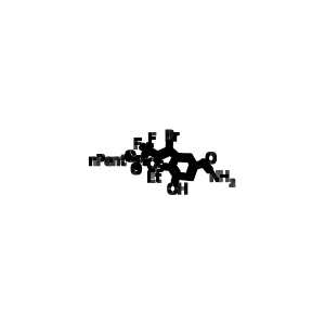 CCCCCOP(=O)(OCC)C(F)(F)c1sc2c(O)cc(C(N)=O)cc2c1Br